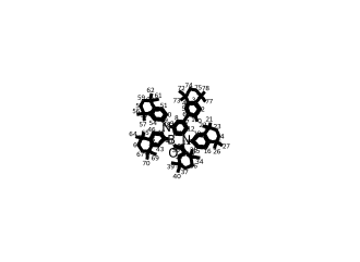 Cc1cc2c(cc1-c1cc3c4c(c1)N(c1ccc5c(c1)C(C)(C)CCC5(C)C)c1c(oc5c1C(C)(C)CCC5(C)C)B4c1cc4c(cc1N3c1ccc3c(c1)C(C)(C)CCC3(C)C)C(C)(C)CCC4(C)C)C(C)(C)CCC2(C)C